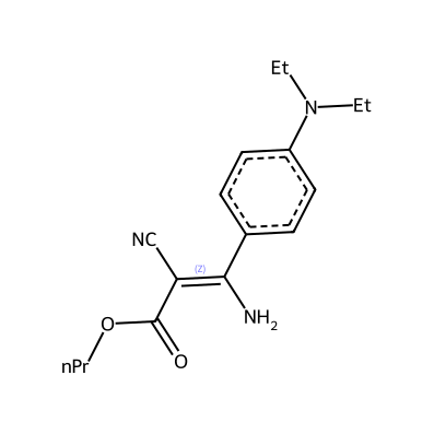 CCCOC(=O)/C(C#N)=C(\N)c1ccc(N(CC)CC)cc1